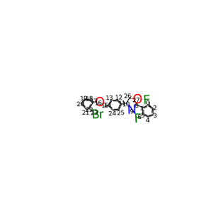 Fc1cccc(F)c1C1=NC(c2ccc(COc3ccccc3Br)cc2)CO1